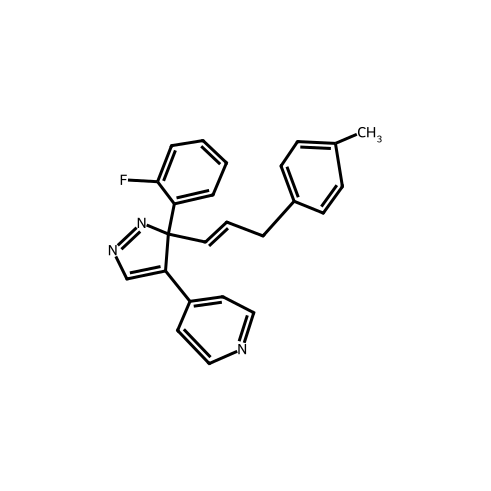 Cc1ccc(CC=CC2(c3ccccc3F)N=NC=C2c2ccncc2)cc1